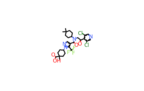 CC1(C)CCC(N(CC(=O)c2c(Cl)cncc2Cl)C(=O)c2cnn(C3CCC(C)(C(=O)O)CC3)c2C(F)(F)F)CC1